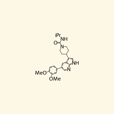 COc1ccc(-c2cnc3[nH]cc(C4CCN(C(=O)NC(C)C)CC4)c3c2)cc1OC